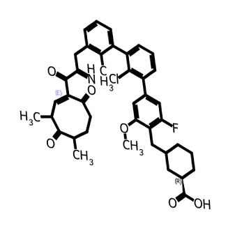 COc1cc(-c2cccc(-c3cccc(CC(=N)C(=O)/C4=C/C(C)C(=O)C(C)CCC4=O)c3C)c2Cl)cc(F)c1CC1CCC[C@@H](C(=O)O)C1